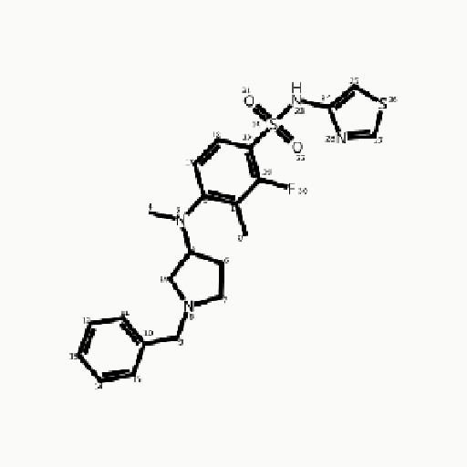 Cc1c(N(C)C2CCN(Cc3ccccc3)C2)ccc(S(=O)(=O)Nc2cscn2)c1F